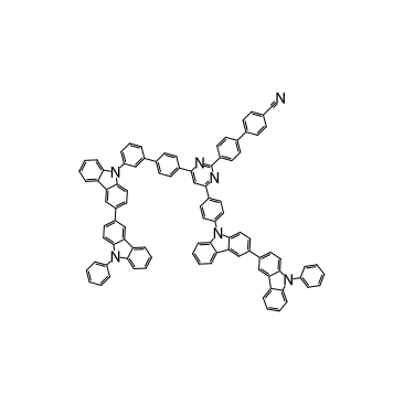 N#Cc1ccc(-c2ccc(-c3nc(-c4ccc(-c5cccc(-n6c7ccccc7c7cc(-c8ccc9c(c8)c8ccccc8n9-c8ccccc8)ccc76)c5)cc4)cc(-c4ccc(-n5c6ccccc6c6cc(-c7ccc8c(c7)c7ccccc7n8-c7ccccc7)ccc65)cc4)n3)cc2)cc1